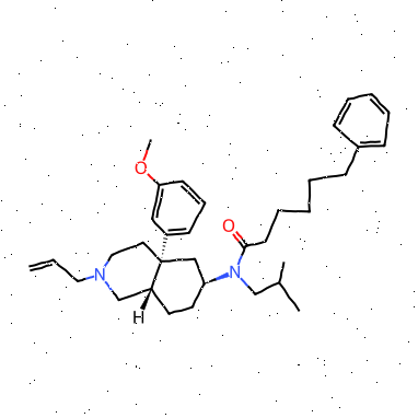 C=CCN1CC[C@@]2(c3cccc(OC)c3)C[C@@H](N(CC(C)C)C(=O)CCCCCc3ccccc3)CC[C@@H]2C1